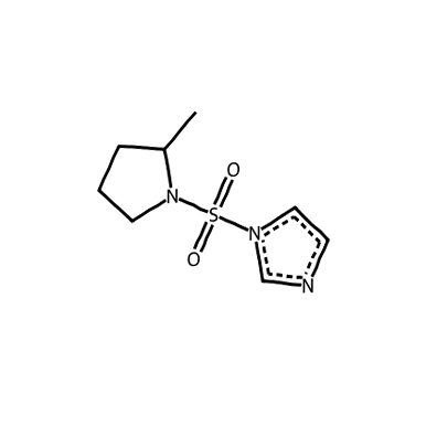 CC1CCCN1S(=O)(=O)n1ccnc1